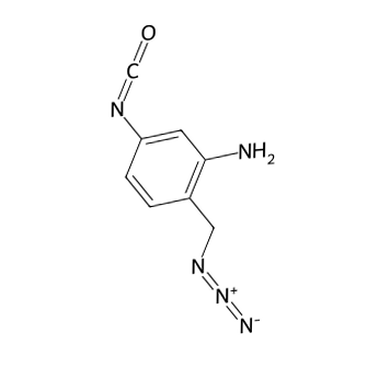 [N-]=[N+]=NCc1ccc(N=C=O)cc1N